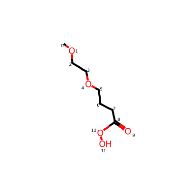 COCCOCCCC(=O)OO